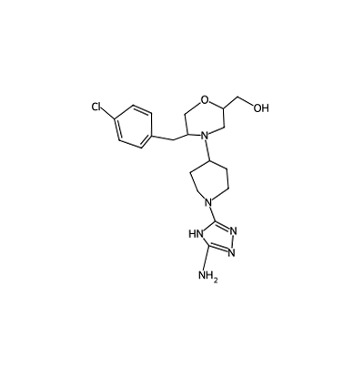 Nc1nnc(N2CCC(N3CC(CO)OCC3Cc3ccc(Cl)cc3)CC2)[nH]1